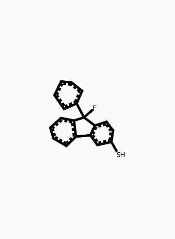 FC1(c2ccccc2)c2ccccc2-c2cc(S)ccc21